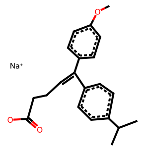 COc1ccc(/C(=C/CCC(=O)[O-])c2ccc(C(C)C)cc2)cc1.[Na+]